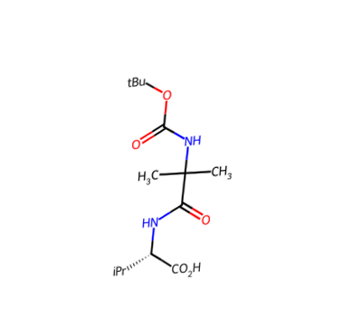 CC(C)[C@H](NC(=O)C(C)(C)NC(=O)OC(C)(C)C)C(=O)O